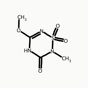 COC1=NS(=O)(=O)N(C)C(=O)N1